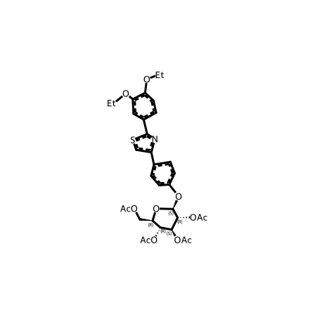 CCOc1ccc(-c2nc(-c3ccc(O[C@@H]4O[C@H](COC(C)=O)[C@@H](OC(C)=O)[C@H](OC(C)=O)[C@H]4OC(C)=O)cc3)cs2)cc1OCC